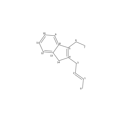 C/C=C/CC1=C(CC)c2ccccc2C1